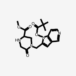 COC(=O)C1CN(Cc2cc3cnccc3n2OC(=O)C(C)(C)C)C(=O)CN1